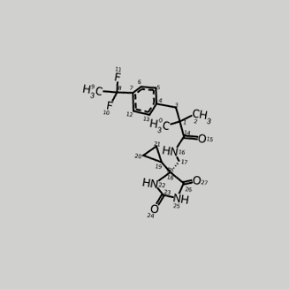 CC(C)(Cc1ccc(C(C)(F)F)cc1)C(=O)NC[C@@]1(C2CC2)NC(=O)NC1=O